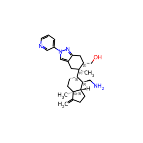 C=C1CC[C@H]2[C@H](CN)[C@@H]([C@@]3(C)Cc4cn(-c5cccnc5)nc4C[C@@H]3CO)CC[C@]12C